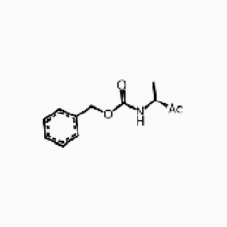 CC(=O)[C@H](C)NC(=O)OCc1ccccc1